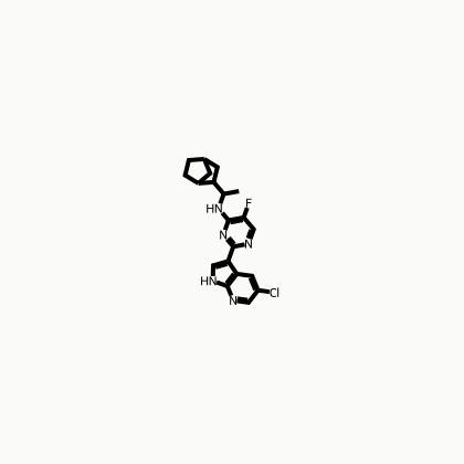 CC(Nc1nc(-c2c[nH]c3ncc(Cl)cc23)ncc1F)C1CC2CCC1C2